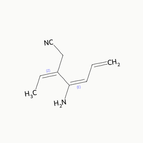 C=C/C=C(N)\C(=C/C)CC#N